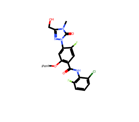 CCCC(C)Oc1cc(-n2nc(CO)n(C)c2=O)c(F)cc1C(=O)Nc1c(F)cccc1Cl